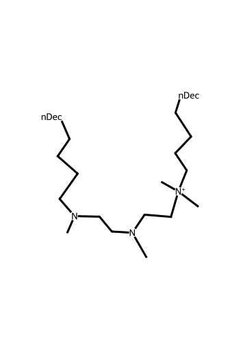 CCCCCCCCCCCCCCN(C)CCN(C)CC[N+](C)(C)CCCCCCCCCCCCCC